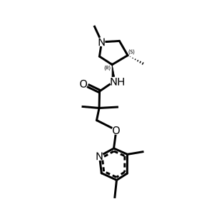 Cc1cnc(OCC(C)(C)C(=O)N[C@H]2CN(C)C[C@@H]2C)c(C)c1